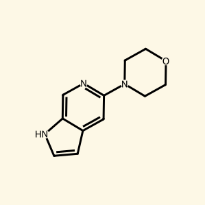 c1cc2cc(N3CCOCC3)ncc2[nH]1